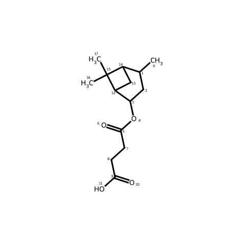 CC1CC(OC(=O)CCC(=O)O)C2CC1C2(C)C